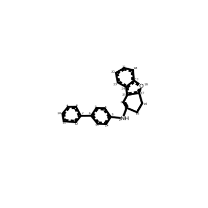 C1=C(Nc2ccc(-c3ccccc3)cc2)CCc2oc3ccccc3c21